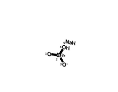 [NaH].[O-][Br+2]([O-])O